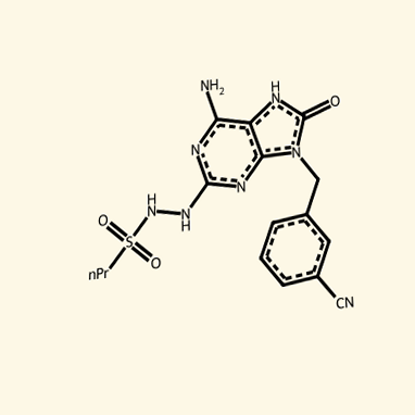 CCCS(=O)(=O)NNc1nc(N)c2[nH]c(=O)n(Cc3cccc(C#N)c3)c2n1